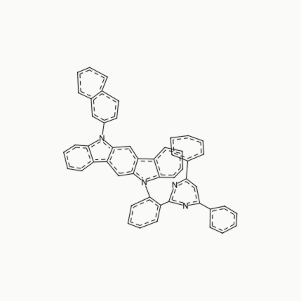 c1ccc(-c2cc(-c3ccccc3)nc(-c3ccccc3-n3c4ccccc4c4cc5c(cc43)c3ccccc3n5-c3ccc4ccccc4c3)n2)cc1